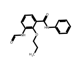 CCCOc1c(NC=O)cccc1C(=O)Nc1ccccc1